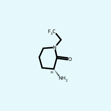 N[C@@H]1CCCN(CC(F)(F)F)C1=O